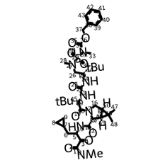 CNC(=O)C(=O)C(CC1CC1)NC(=O)[C@@H]1[C@@H]2[C@H](CN1C(=O)[C@@H](NC(=O)N[C@H](CN(C)S(=O)(=O)N(C)C(=O)OCc1ccccc1)C(C)(C)C)C(C)(C)C)C2(C)C